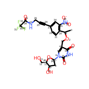 CC(OCc1cn([C@H]2CC(O)[C@@H](CO)O2)c(=O)[nH]c1=O)c1ccc(C#CCNC(=O)C(F)(F)F)cc1[N+](=O)[O-]